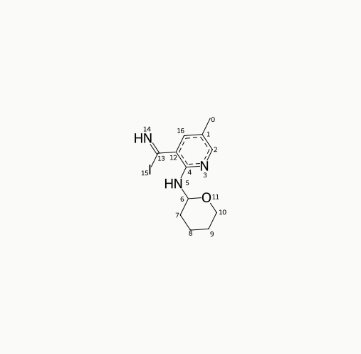 Cc1cnc(NC2CCCCO2)c(C(=N)I)c1